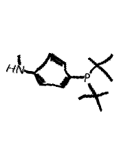 CNc1ccc(P(C(C)(C)C)C(C)(C)C)cc1